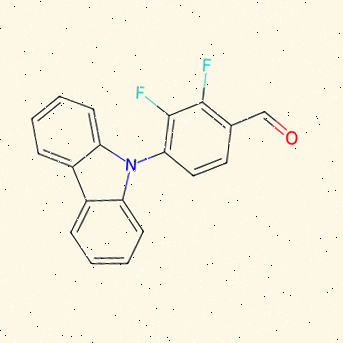 O=Cc1ccc(-n2c3ccccc3c3ccccc32)c(F)c1F